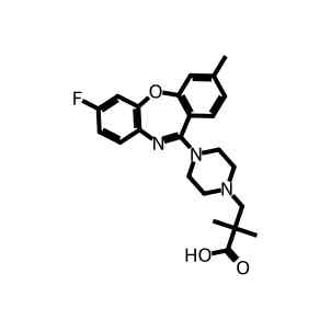 Cc1ccc2c(c1)Oc1cc(F)ccc1N=C2N1CCN(CC(C)(C)C(=O)O)CC1